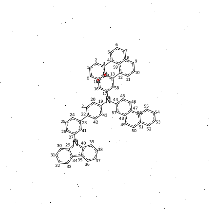 c1ccc(-c2cccc3cccc(-c4cccc(N(c5ccc(-c6cccc(-n7c8ccccc8c8ccccc87)c6)cc5)c5ccc6c(ccc7ccccc76)c5)c4)c23)cc1